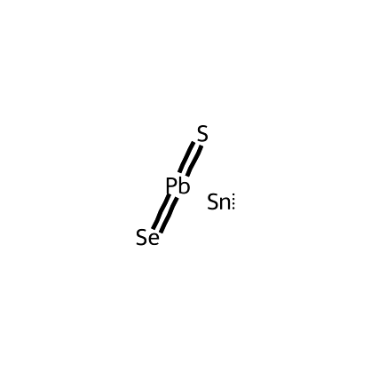 [S]=[Pb]=[Se].[Sn]